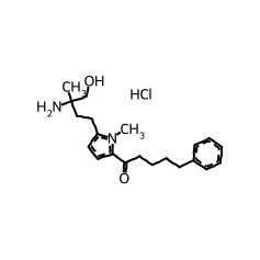 Cl.Cn1c(CCC(C)(N)CO)ccc1C(=O)CCCCc1ccccc1